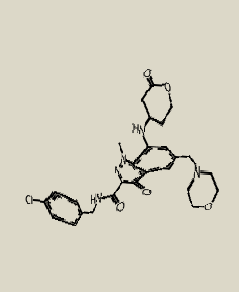 Cn1nc(C(=O)NCc2ccc(Cl)cc2)c(=O)c2cc(CN3CCOCC3)cc(NC3CCOC(=O)C3)c21